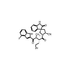 CC(C)CC[C@@H](C(=O)N1C[C@]2(C[C@H]1C#N)C(=O)Nc1ccccc12)N(C)C(=O)c1cc2c(F)cccc2[nH]1